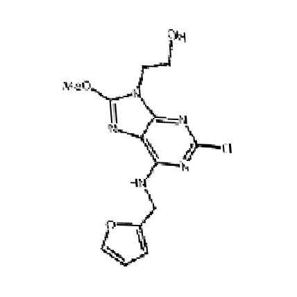 COc1nc2c(NCc3ccco3)nc(Cl)nc2n1CCO